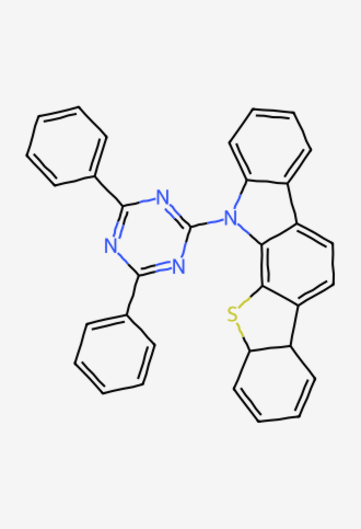 C1=CC2Sc3c(ccc4c5ccccc5n(-c5nc(-c6ccccc6)nc(-c6ccccc6)n5)c34)C2C=C1